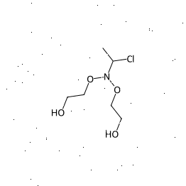 CC(Cl)N(OCCO)OCCO